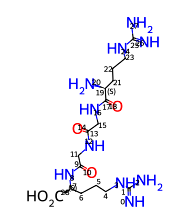 N=C(N)NCCC[C@H](NC(=O)CNC(=O)CNC(=O)[C@@H](N)CCCNC(=N)N)C(=O)O